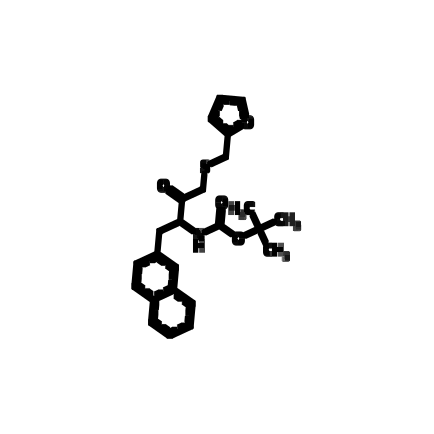 CC(C)(C)OC(=O)NC(Cc1ccc2ccccc2c1)C(=O)CSCc1ccco1